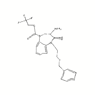 NC1CN(C(=O)OCC(F)(F)F)c2ccccc2N(CCOCc2ccccc2)C1=O